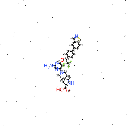 Nc1nc(O[C@H](c2ccc(-c3ccc4sncc4c3)cc2)C(F)(F)F)cc(N2CCC3(CC2)CN[C@H](C(=O)O)C3)n1